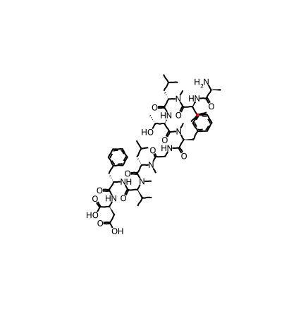 CC(C)C[C@@H](C(=O)N(C)[C@H](C(=O)N[C@@H](Cc1ccccc1)C(=O)N[C@@H](CC(=O)O)C(=O)O)C(C)C)N(C)C(=O)CNC(=O)[C@H](Cc1ccccc1)N(C)C(=O)[C@@H](NC(=O)[C@H](CC(C)C)N(C)C(=O)[C@@H](NC(=O)[C@H](C)N)C(C)C)[C@@H](C)O